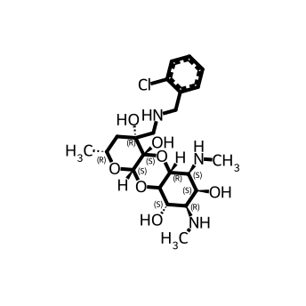 CN[C@@H]1[C@H](O)[C@H](NC)[C@H]2O[C@]3(O)[C@H](OC2[C@H]1O)O[C@H](C)C[C@@]3(O)CNCc1ccccc1Cl